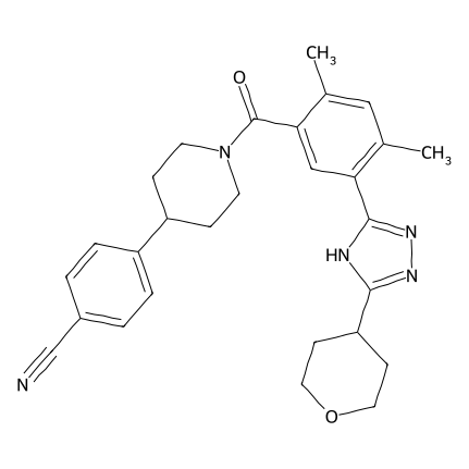 Cc1cc(C)c(-c2nnc(C3CCOCC3)[nH]2)cc1C(=O)N1CCC(c2ccc(C#N)cc2)CC1